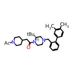 CC(=O)N1CCC(CC(=O)N2CCN(Cc3ccccc3-c3ccc(C)c(C)c3)C[C@@H]2C(C)(C)C)CC1